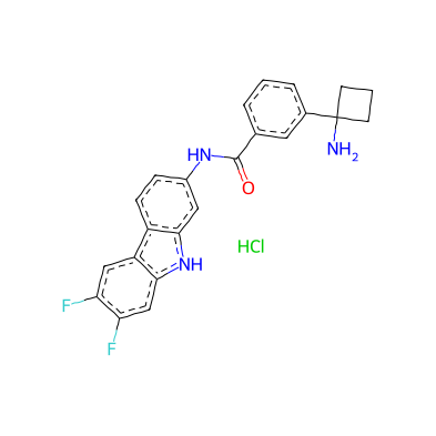 Cl.NC1(c2cccc(C(=O)Nc3ccc4c(c3)[nH]c3cc(F)c(F)cc34)c2)CCC1